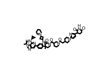 CC(C)n1cnc2cc(-c3ccc(C4(C)CCN(C(=O)C5CCCN(C(=O)CC6CCN(c7ccc(C8CCC(=O)NC8=O)cn7)CC6)C5)CC4)c(N(C=O)C4CC(N5CCCCC5)C4)c3)nc(NC3CC3)c21